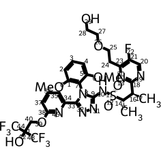 COc1cccc(OC)c1-n1c(NS(=O)(=O)[C@@H](C)[C@H](C)c2ncc(F)c(CCOCCO)n2)nnc1-c1cccc(OCC(O)(C(F)(F)F)C(F)(F)F)n1